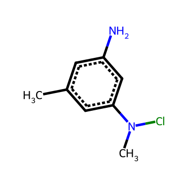 Cc1cc(N)cc(N(C)Cl)c1